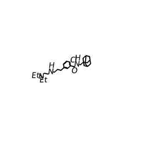 CCN(CC)CCNCCCc1ccc(Cl)c(C(=O)NCC23CC4CC(CC(C4)C2)C3)c1